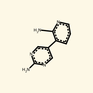 Nc1ncc(-c2cc[c]nc2N)cn1